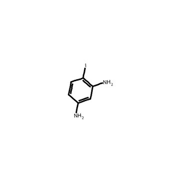 Nc1ccc(I)c(N)c1